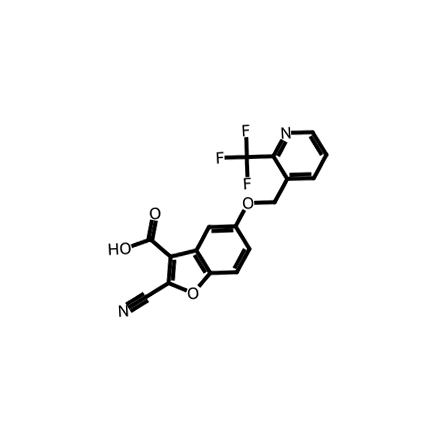 N#Cc1oc2ccc(OCc3cccnc3C(F)(F)F)cc2c1C(=O)O